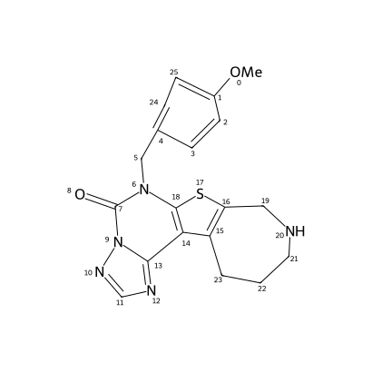 COc1ccc(Cn2c(=O)n3ncnc3c3c4c(sc32)CNCCC4)cc1